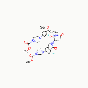 CC(C)(C)OC(=O)N1CCN(c2cc(F)c3c(c2)CN(C2CCC(=O)NC2=O)C3=O)CC1.COC(=O)c1c(F)cc(N2CCN(C(=O)OC(C)(C)C)CC2)cc1C=O